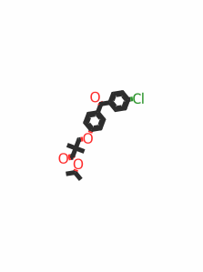 CC(C)OC(=O)C(C)(C)COc1ccc(C(=O)c2ccc(Cl)cc2)cc1